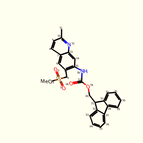 COS(=O)(=O)Cc1cc2ccc(C)nc2cc1NC(=O)OCC1c2ccccc2-c2ccccc21